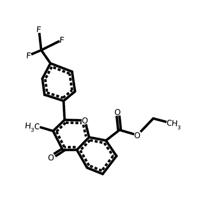 CCOC(=O)c1cccc2c(=O)c(C)c(-c3ccc(C(F)(F)F)cc3)oc12